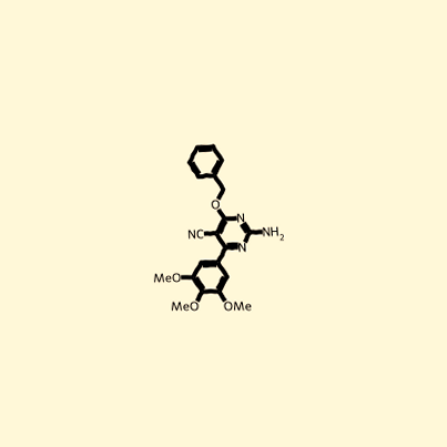 COc1cc(-c2nc(N)nc(OCc3ccccc3)c2C#N)cc(OC)c1OC